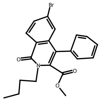 CCCCn1c(C(=O)OC)c(-c2ccccc2)c2cc(Br)ccc2c1=O